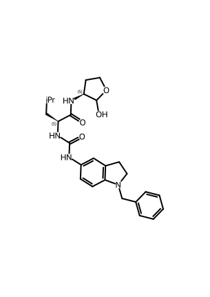 CC(C)C[C@H](NC(=O)Nc1ccc2c(c1)CCN2Cc1ccccc1)C(=O)N[C@H]1CCOC1O